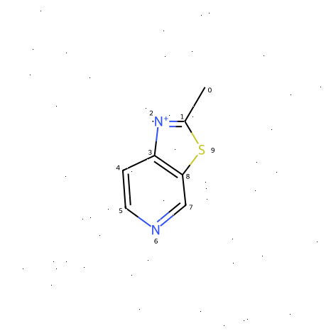 CC1=[N+]c2ccncc2S1